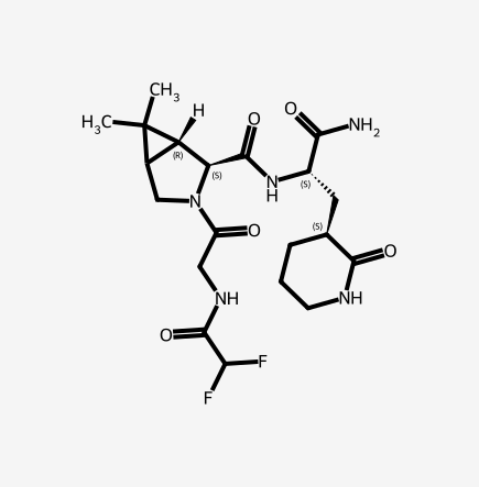 CC1(C)C2CN(C(=O)CNC(=O)C(F)F)[C@H](C(=O)N[C@@H](C[C@@H]3CCCNC3=O)C(N)=O)[C@H]21